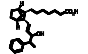 CC(c1ccccc1)C(O)C=C[C@@H]1[C@@H]2CC[C@@H](C2)[C@@H]1CCCCCCC(=O)O